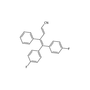 N#C/C=C/C(=C(c1ccc(F)cc1)c1ccc(F)cc1)c1ccccc1